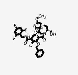 COC1=NO[C@@]2(CC[C@H](CO)N3C[C@H]2n2cc(C(=O)NCc4c(F)cc(F)cc4F)c(=O)c(OCc4ccccc4)c2C3=O)C1